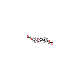 Cc1cc(OCC2CO2)ccc1C(=O)Oc1ccc(-c2ccc(OCC3=CO3)cc2)cc1